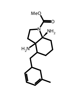 COC(=O)N1CCC2(N)C(CC3C=CC=C(C)C3)CCC[C@@]12N